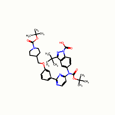 CC(C)(C)OC(=O)N1CCC(COc2cccc(-c3nccc(N(C(=O)OC(C)(C)C)c4ccc5c(c4)c(C(C)(C)C)nn5C(=O)O)n3)c2)CC1